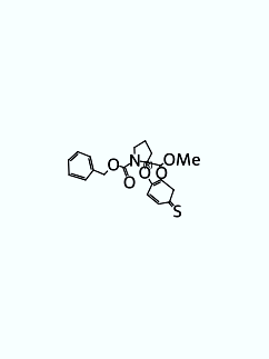 COC(=O)[C@]1(OC2=CCC(=S)C=C2)CCCN1C(=O)OCc1ccccc1